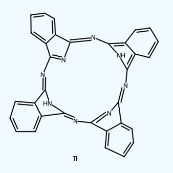 [Tl].c1ccc2c(c1)-c1nc-2nc2[nH]c(nc3nc(nc4[nH]c(n1)c1ccccc41)-c1ccccc1-3)c1ccccc21